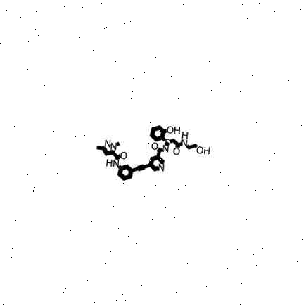 Cc1cc(C(=O)Nc2cccc(C#Cc3cncc(C(=O)N=S(CC(=O)NCCO)c4ccccc4O)c3)c2)n(C)n1